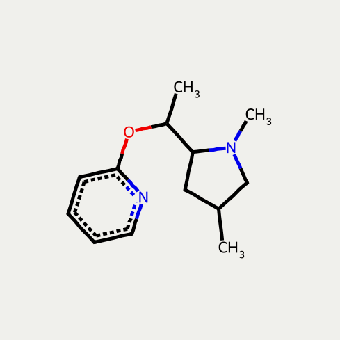 CC1CC(C(C)Oc2ccccn2)N(C)C1